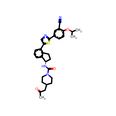 CC(=O)CC1CCN(C(=O)N[C@H]2CCc3c(-c4cnc(-c5ccc(OC(C)C)c(C#N)c5)s4)cccc32)CC1